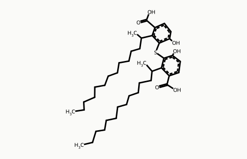 CCCCCCCCCCCCC(C)c1c(C(=O)O)ccc(O)c1Sc1c(O)ccc(C(=O)O)c1C(C)CCCCCCCCCCCC